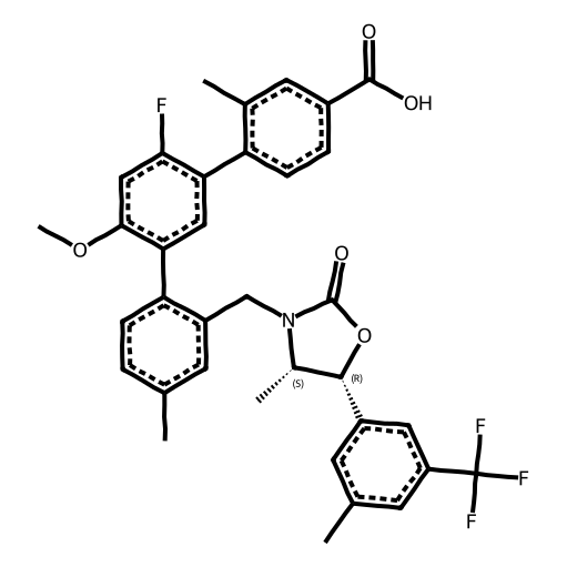 COc1cc(F)c(-c2ccc(C(=O)O)cc2C)cc1-c1ccc(C)cc1CN1C(=O)O[C@H](c2cc(C)cc(C(F)(F)F)c2)[C@@H]1C